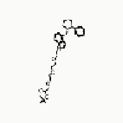 CC(C)(C)OC(=O)COCCOCCOCCn1ccc2c(CN3CCCCC3c3ccccc3)cccc21